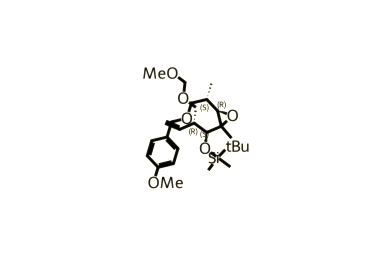 C=C[C@H](COCOC)[C@H](O[Si](C)(C)C(C)(C)C)C1(C)O[C@@H]1[C@@H](C)COCc1ccc(OC)cc1